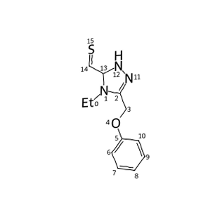 CCN1C(COc2ccccc2)=NNC1C=S